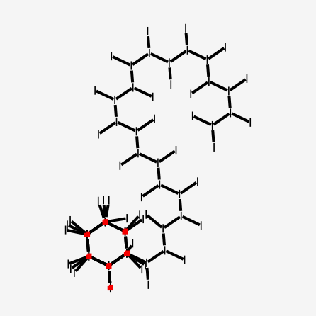 II(I)I(I)I(I)I(I)I(I)I(I)I(I)I(I)I(I)I(I)I(I)I(I)I(I)I(I)I(I)I(I)I(I)I(I)I(I)I(I)I(I)I(I)I(I)I(I)I(I)I(I)I(I)I(I)I(I)I(I)I(I)I(I)I(I)I(I)I(I)I(I)I(I)I(I)I